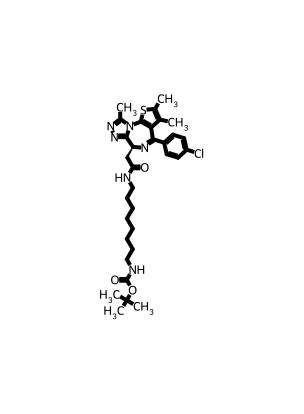 Cc1sc2c(c1C)C(c1ccc(Cl)cc1)=N[C@@H](CC(=O)NCCCCCCCCNC(=O)OC(C)(C)C)c1nnc(C)n1-2